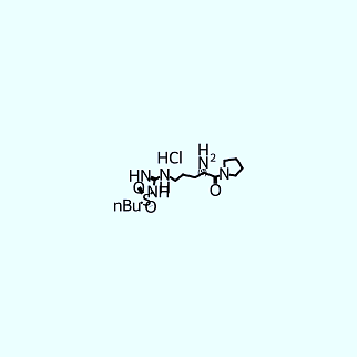 CCCCS(=O)(=O)NC(=N)NCCC[C@H](N)C(=O)N1CCCC1.Cl